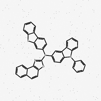 c1ccc(-n2c3ccccc3c3cc(N(c4ccc5c(c4)sc4ccccc45)c4nc5c(ccc6ccccc65)o4)ccc32)cc1